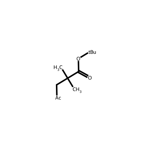 CC(=O)CC(C)(C)C(=O)OC(C)(C)C